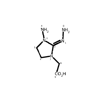 N/N=C1\N(N)CCN1CC(=O)O